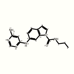 CCCNC(=O)n1ccc2ccc(Nc3cc(N)ncn3)cc21